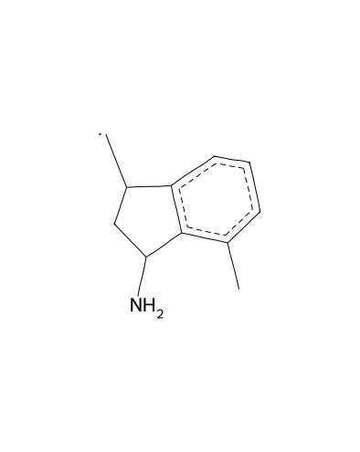 [CH2]C1CC(N)c2c(C)cccc21